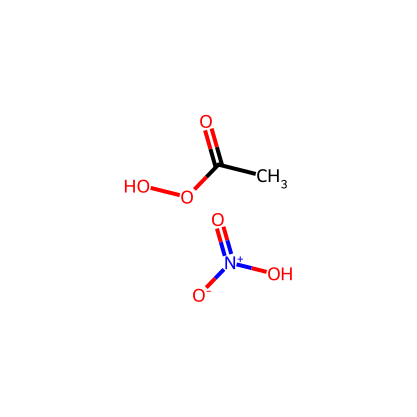 CC(=O)OO.O=[N+]([O-])O